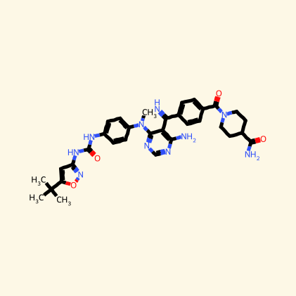 CN(c1ccc(NC(=O)Nc2cc(C(C)(C)C)on2)cc1)c1ncnc(N)c1C(=N)c1ccc(C(=O)N2CCC(C(N)=O)CC2)cc1